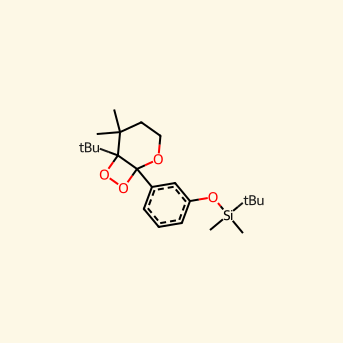 CC(C)(C)C12OOC1(c1cccc(O[Si](C)(C)C(C)(C)C)c1)OCCC2(C)C